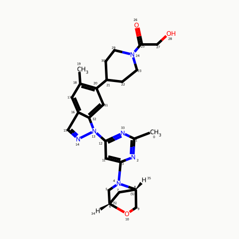 Cc1nc(N2C[C@@H]3C[C@H]2CO3)cc(-n2ncc3cc(C)c(C4CCN(C(=O)CO)CC4)cc32)n1